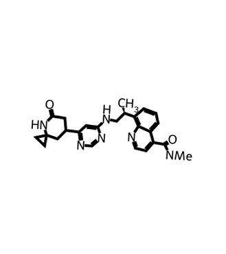 CNC(=O)c1ccnc2c([C@H](C)CNc3cc(C4CC(=O)NC5(CC5)C4)ncn3)cccc12